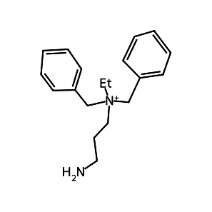 CC[N+](CCCN)(Cc1ccccc1)Cc1ccccc1